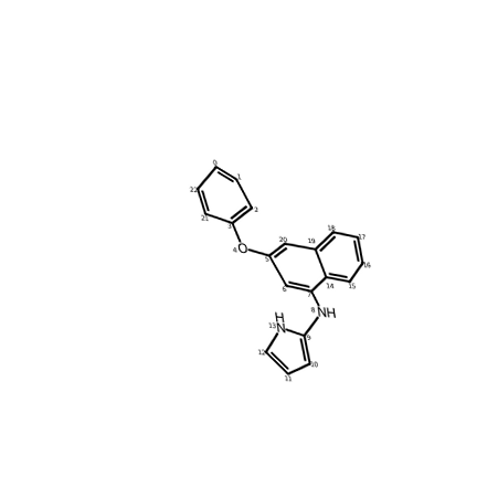 c1ccc(Oc2cc(Nc3ccc[nH]3)c3ccccc3c2)cc1